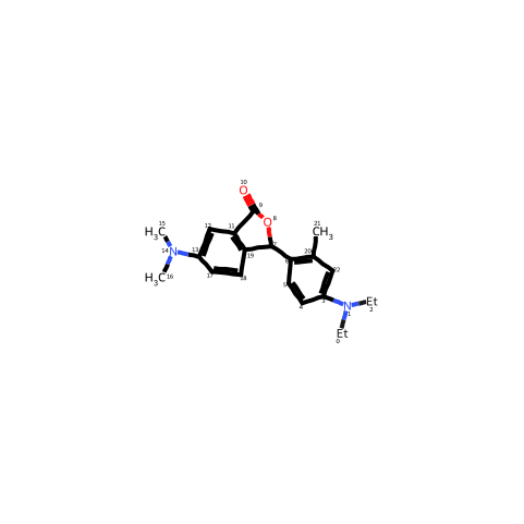 CCN(CC)c1ccc(C2OC(=O)c3cc(N(C)C)ccc32)c(C)c1